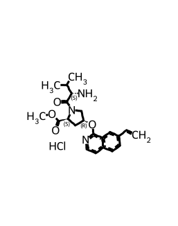 C=Cc1ccc2ccnc(O[C@@H]3C[C@@H](C(=O)OC)N(C(=O)[C@@H](N)C(C)C)C3)c2c1.Cl